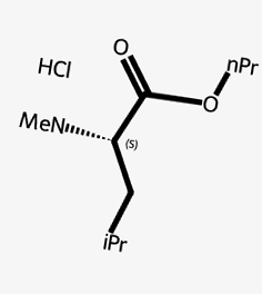 CCCOC(=O)[C@H](CC(C)C)NC.Cl